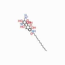 CCCCCCCCCCCCCCCC(=O)Nc1ccc2c(c1O)C(=O)C1=C(O)[C@]3(O)C(=O)C(CN)=C(O)[C@@H](N(C)C)C3[C@@H](O)C1[C@H]2C